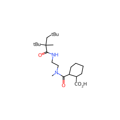 CN(CCNC(=O)C(C)(CC(C)(C)C)C(C)(C)C)C(=O)C1CCCCC1C(=O)O